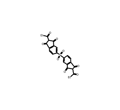 CCC(=O)C1C(=O)c2ccc(S(=O)(=O)c3ccc4c(c3)C(=O)C(C(=O)CC)C4=O)cc2C1=O